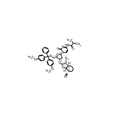 COc1ccc(C(OC[C@H]2O[C@@H](n3ccc(NC(=O)C(C)C)nc3=O)C[C@@H]2O[P@]2O[C@H]3[C@@H](C#N)CCC[C@@H]3N2C)(c2ccccc2)c2ccc(OC)cc2)cc1